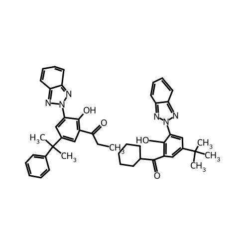 CC(C)(C)c1cc(C(=O)C2CCCCC2)c(O)c(-n2nc3ccccc3n2)c1.CCC(=O)c1cc(C(C)(C)c2ccccc2)cc(-n2nc3ccccc3n2)c1O